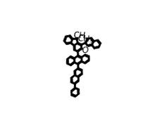 CC1(C)c2ccccc2-c2cc(-c3c4ccccc4c(-c4ccc5cc(-c6ccccc6)ccc5c4)c4ccccc34)c3oc4c5ccccc5ccc4c3c21